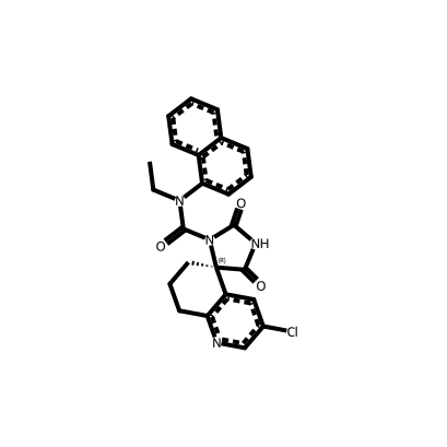 CCN(C(=O)N1C(=O)NC(=O)[C@]12CCCc1ncc(Cl)cc12)c1cccc2ccccc12